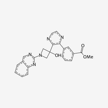 COC(=O)c1cccc(-c2nccnc2C2(O)CN(c3ncc4ccccc4n3)C2)c1